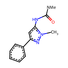 CNC(=O)Nc1cc(-c2ccccc2)nn1C